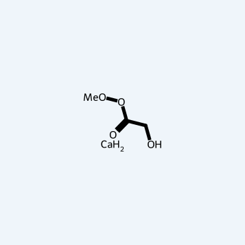 COOC(=O)CO.[CaH2]